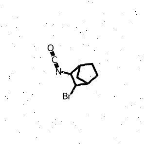 O=C=NC1C2CCC(C2)C1Br